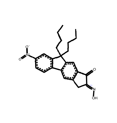 CCCCC1(CCCC)c2cc([N+](=O)[O-])ccc2-c2cc3c(cc21)C(=O)/C(=N/O)C3